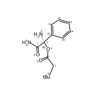 CC(C)(C)CC(=O)O[C@@](N)(C(N)=O)c1ccccc1